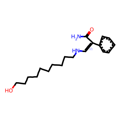 NC(=O)/C(=C\NCCCCCCCCCCO)c1ccccc1